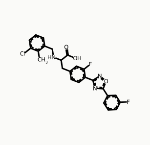 Cc1c(Cl)cccc1CNC(Cc1ccc(-c2noc(-c3cccc(F)c3)n2)c(F)c1)C(=O)O